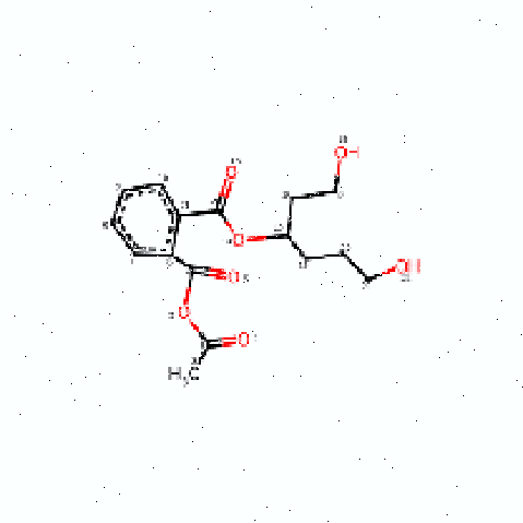 CC(=O)OC(=O)c1ccccc1C(=O)OC(CCO)CCCO